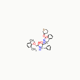 Cc1cccc(C)c1OCC(=O)N[C@@H](Cc1ccccc1)[C@@H](O)C[C@H](Cc1ccccc1)NC(=O)O[C@@H]1CCCSC1